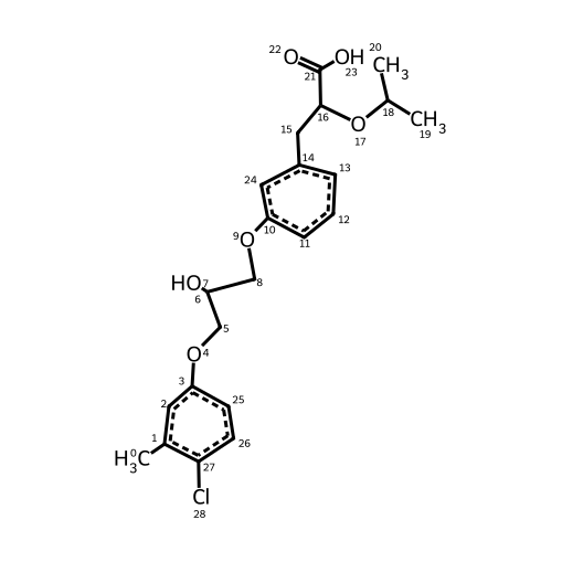 Cc1cc(OCC(O)COc2cccc(CC(OC(C)C)C(=O)O)c2)ccc1Cl